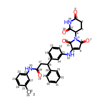 O=C1CCC(N2C(=O)C=C(Nc3cccc(C(CC(=O)Nc4cccc(C(F)(F)F)c4)c4ccccc4)c3)C2=O)C(=O)N1